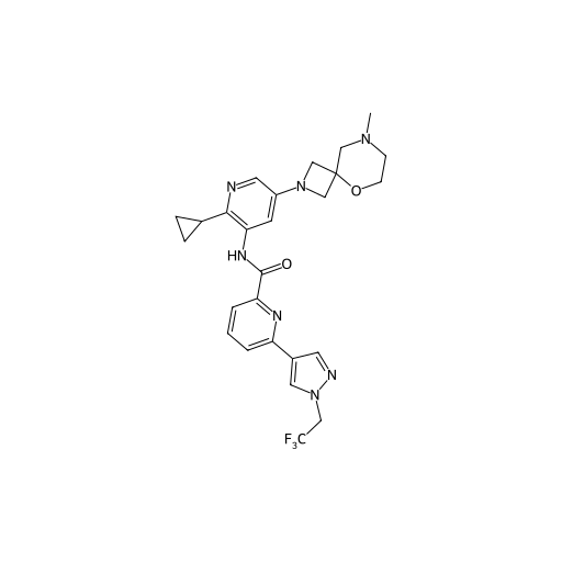 CN1CCOC2(C1)CN(c1cnc(C3CC3)c(NC(=O)c3cccc(-c4cnn(CC(F)(F)F)c4)n3)c1)C2